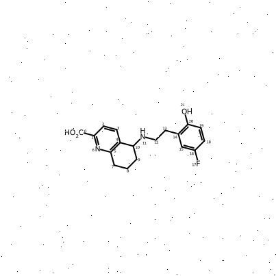 O=C(O)c1ccc2c(n1)CCCC2NCCc1cc(F)ccc1O